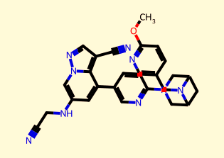 COc1ccc(CN2C3CC2CN(c2ccc(-c4cc(NCC#N)cn5ncc(C#N)c45)cn2)C3)cn1